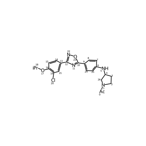 CC(=O)N1CCC(Nc2ccc(-c3nc(-c4ccc(OC(C)C)c(Cl)c4)no3)cc2)C1